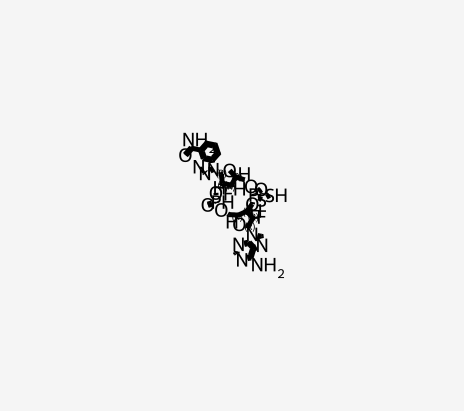 NC(=O)c1cccc2c1nnn2[C@@H]1O[C@@H]2COP(=O)(SS)O[C@H]3[C@@H](F)[C@H](n4cnc5c(N)ncnc54)O[C@@H]3CO[PH](=O)O[C@@H]1[C@@H]2F